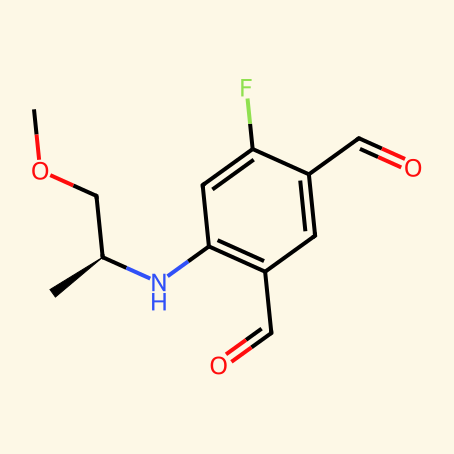 COC[C@H](C)Nc1cc(F)c(C=O)cc1C=O